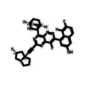 Oc1cc(-c2nnc3c(N4C[C@@H]5CC[C@H]4CN5)nc(C#C[C@@]45CCCN4C[C@H](F)C5)nc3c2F)c2c(F)c(F)ccc2c1